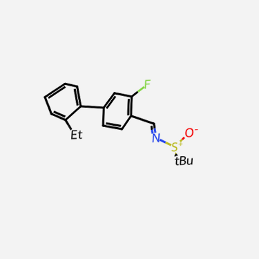 CCc1ccccc1-c1ccc(C=N[S@@+]([O-])C(C)(C)C)c(F)c1